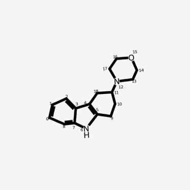 c1ccc2c3c([nH]c2c1)CCC(N1CCOCC1)C3